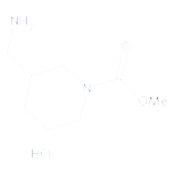 COC(=O)N1CCCC(CN)C1.Cl